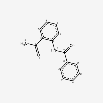 CC(=O)c1ccccc1NC(=O)c1ccccc1